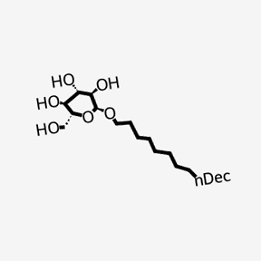 CCCCCCCCCCCCCCCCCCO[C@H]1O[C@H](CO)[C@@H](O)[C@H](O)[C@H]1O